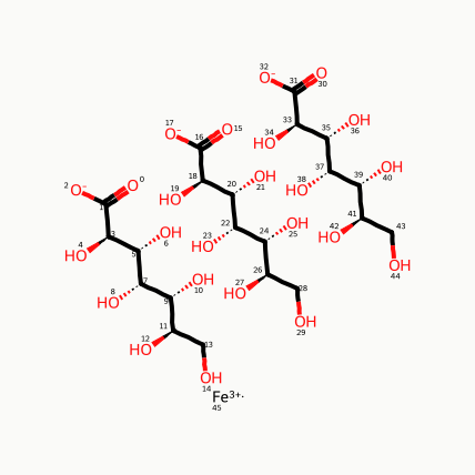 O=C([O-])[C@H](O)[C@H](O)[C@@H](O)[C@H](O)[C@H](O)CO.O=C([O-])[C@H](O)[C@H](O)[C@@H](O)[C@H](O)[C@H](O)CO.O=C([O-])[C@H](O)[C@H](O)[C@@H](O)[C@H](O)[C@H](O)CO.[Fe+3]